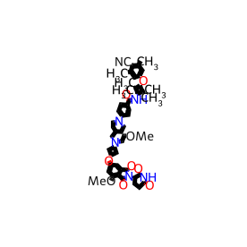 COCCN(CC1CCN(c2ccc(C(=O)NC3C(C)(C)C(Oc4cc(C)c(C#N)c(C)c4)C3(C)C)cc2)CC1)C1CC(Oc2cc(OC)c3c(c2)C(=O)N([C@@H]2CCC(=O)NC2=O)C3=O)C1